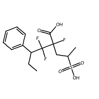 CCC(c1ccccc1)C(F)(F)C(F)(CC(C)S(=O)(=O)O)C(=O)O